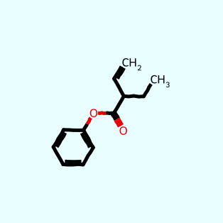 C=CC(CC)C(=O)Oc1ccccc1